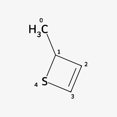 CC1C=CS1